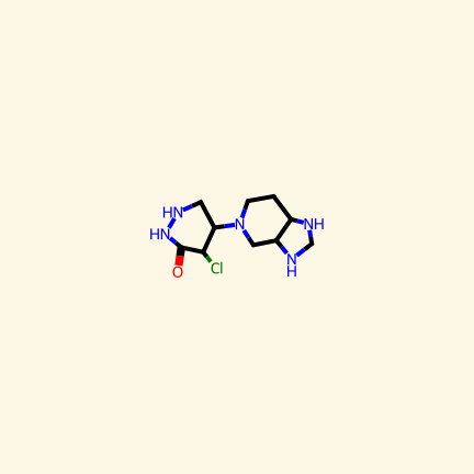 O=C1NNCC(N2CCC3NCNC3C2)C1Cl